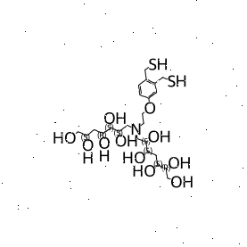 OC[C@@H](O)C[C@@H](O)[C@H](O)[C@@H](O)CN(CCOc1ccc(CS)c(CS)c1)C[C@H](O)[C@@H](O)C[C@H](O)[C@H](O)CO